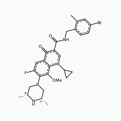 COc1c(N2C[C@@H](C)N[C@@H](C)C2)c(F)cc2c(=O)c(C(=O)NCc3ccc(Br)cc3C)cn(C3CC3)c12